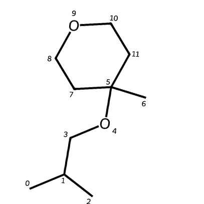 CC(C)COC1(C)CCOCC1